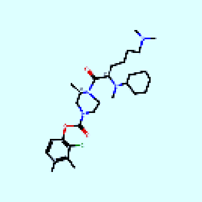 Cc1ccc(OC(=O)N2CCN(C(=O)[C@@H](CCCCN(C)C)N(C)C3CCCCC3)[C@H](C)C2)c(Cl)c1C